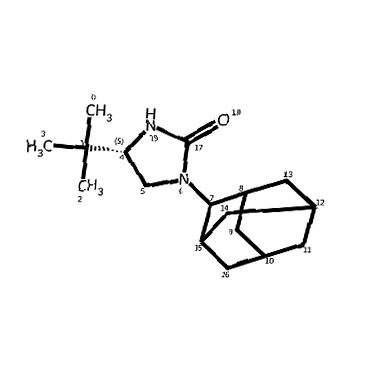 CC(C)(C)[C@H]1CN(C2C3CC4CC(C3)CC2C4)C(=O)N1